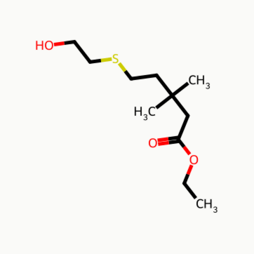 CCOC(=O)CC(C)(C)CCSCCO